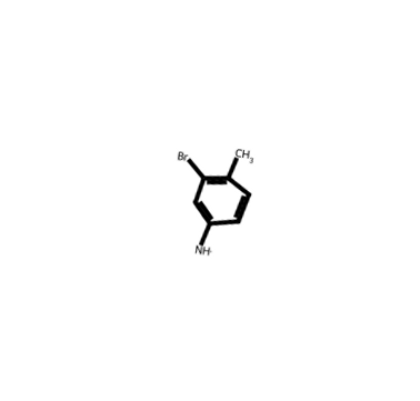 Cc1ccc([NH])cc1Br